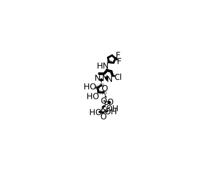 O=P(O)(O)CP(=O)(O)OC[C@H]1O[C@@H](c2ncc3c(N[C@@H]4CCC(F)(F)C4)cc(Cl)nn23)[C@H](O)[C@@H]1O